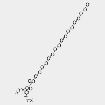 COCCOCCOCCOCCOCCOCCOCCOCCOCCOCCOCCOCCOCCOCCOCCOCCOCCOC(=O)CCC(=O)Oc1ccc(C(C)(C)CC(C)CC(C)(C)C)cc1C(C)(C)CC(C)CC(C)(C)C